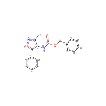 Cc1noc(-c2ccccc2)c1NC(=O)OCc1ccccc1